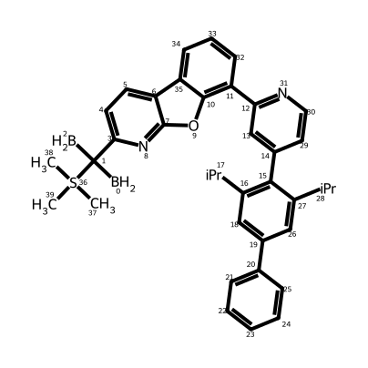 BC(B)(c1ccc2c(n1)oc1c(-c3cc(-c4c(C(C)C)cc(-c5ccccc5)cc4C(C)C)ccn3)cccc12)S(C)(C)C